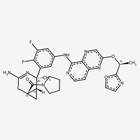 C[C@H](Oc1cnc2c(Nc3cc(F)c(F)c([C@]4(C)N=C(N)S[C@@]5(C(=O)N6CCCC6)C[C@@H]45)c3)nccc2n1)c1ncco1